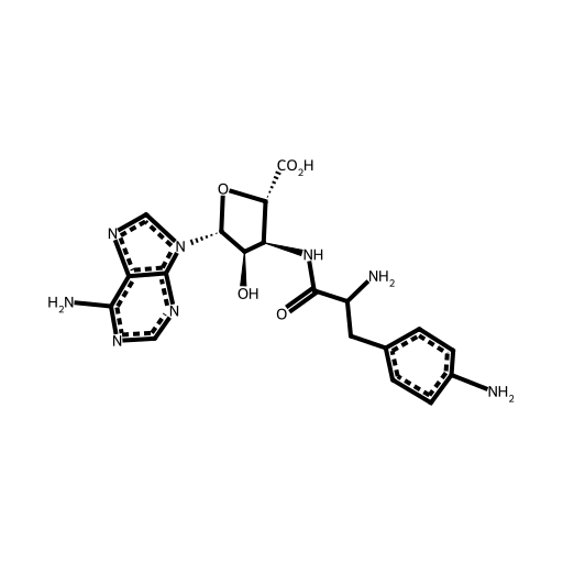 Nc1ccc(CC(N)C(=O)N[C@H]2[C@@H](O)[C@H](n3cnc4c(N)ncnc43)O[C@@H]2C(=O)O)cc1